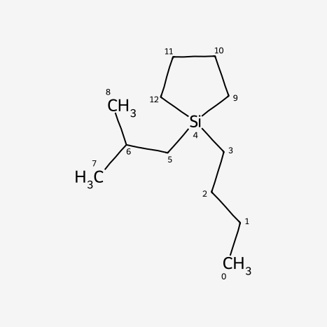 CCCC[Si]1(CC(C)C)CCCC1